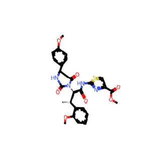 COC(=O)c1csc(NC(=O)[C@H]([C@@H](C)c2ccccc2OC)N2C(=O)NC(c3ccc(OC)cc3)C2=O)n1